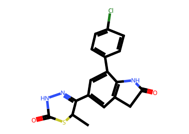 CC1SC(=O)NN=C1c1cc2c(c(-c3ccc(Cl)cc3)c1)NC(=O)C2